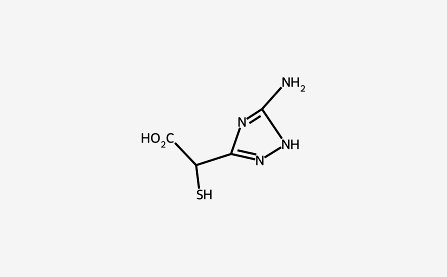 Nc1nc(C(S)C(=O)O)n[nH]1